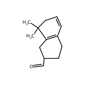 CC1(C)CC=CC2=C1CC(C=O)CC2